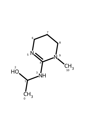 CC(O)NC1=NCCCN1C